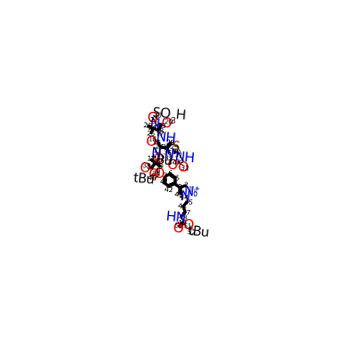 C[n+]1cc(-c2ccc(OCC(C)(ON=C(C(=O)NC3C(=O)N(OS(=O)(=O)O)C3(C)C)c3csc(NC(=O)OC(C)(C)C)n3)C(=O)OC(C)(C)C)cc2)cn1CCCNC(=O)OC(C)(C)C